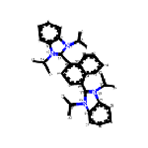 CC(C)N1c2ccccc2N(C(C)C)C1c1ccc(C2N(C(C)C)c3ccccc3N2C(C)C)c2ccccc12